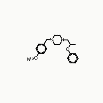 COc1ccc(CN2CCN(CC(C)Oc3ccccc3)CC2)cc1